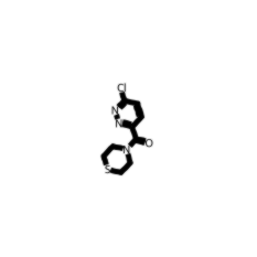 O=C(c1ccc(Cl)nn1)N1CCSCC1